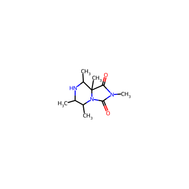 CC1NC(C)C2(C)C(=O)N(C)C(=O)N2C1C